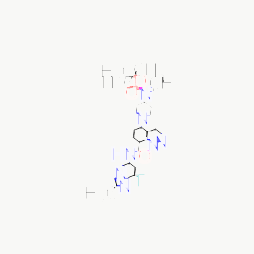 CCN(C(=O)OC(C)(C)C)C1CCN(c2ccc(C(=O)Nc3cc(F)c4nc(C)cn4c3)c3nnccc23)CC1